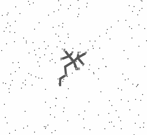 CCOCC(O)(C(F)(F)F)C(F)(F)F